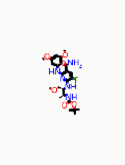 COC[C@@H](Nc1nc(Nc2cc(OC)cc(OC)c2)c(C(N)=O)cc1F)[C@H](C)NC(=O)OC(C)(C)C